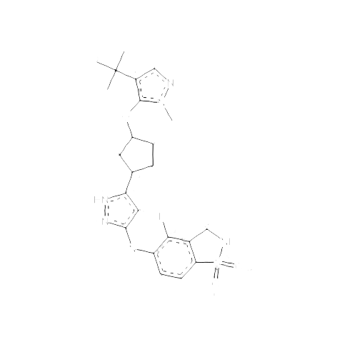 Cn1ncc(C(C)(C)C)c1OC1CCC(c2cc(Nc3ccc4c(c3F)CNS4(=O)=O)n[nH]2)C1